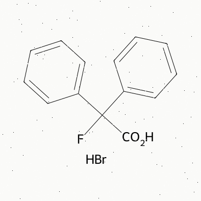 Br.O=C(O)C(F)(c1ccccc1)c1ccccc1